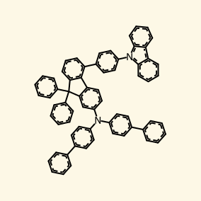 c1ccc(-c2ccc(N(c3ccc(-c4ccccc4)cc3)c3ccc4c(c3)C(c3ccccc3)(c3ccccc3)c3cccc(-c5ccc(-n6c7ccccc7c7ccccc76)cc5)c3-4)cc2)cc1